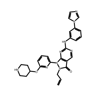 C=CCn1c(=O)c2cnc(Nc3cccc(-n4ccnc4)c3)nc2n1-c1cccc(OC2CCNCC2)n1